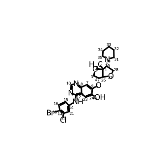 CC12OC[C@@H](Oc3cc4ncnc(Nc5ccc(Br)c(Cl)c5)c4cc3O)C1OC[C@H]2N1CCCCC1